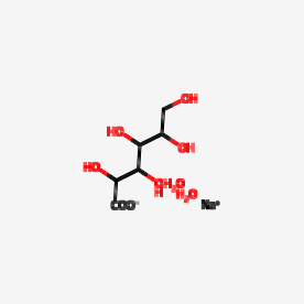 O.O.O=C([O-])C(O)C(O)C(O)C(O)CO.[Na+]